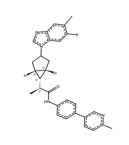 Cc1ccc(-c2ccc(NC(=O)[C@@H](C)[C@@H]3[C@@H]4CC(n5cnc6cc(F)c(F)cc65)C[C@@H]43)cc2)cn1